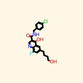 O=C(NCc1ccc(Cl)cc1)c1cnc2c(F)cc(CCCCO)cc2c1O